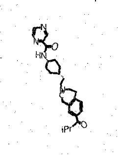 CC(C)C(=O)c1ccc2c(c1)CCN(CC[C@H]1CC[C@H](NC(=O)c3cnccn3)CC1)CC2